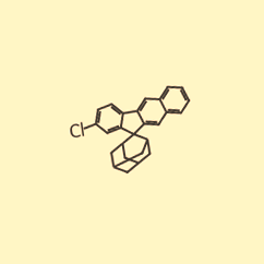 Clc1ccc2c(c1)C1(c3cc4ccccc4cc3-2)C2CC3CC(C2)CC1C3